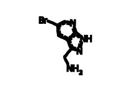 NCc1n[nH]c2ncc(Br)cc12